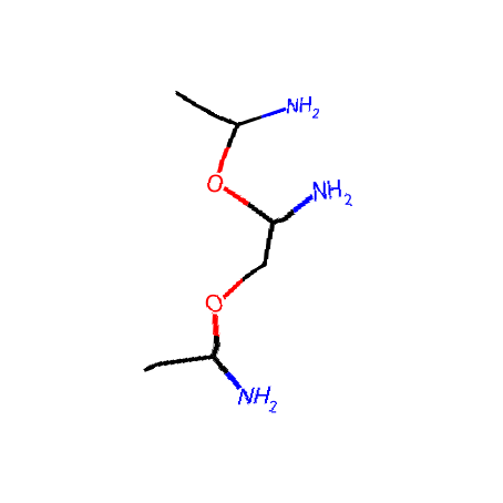 CC(N)OCC(N)OC(C)N